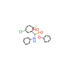 O=P(O)(Oc1ccccc1)C(Nc1ccccc1)c1cc(Cl)ccc1F